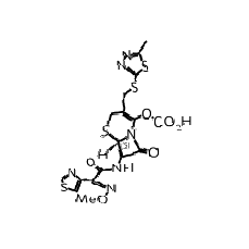 CON=C(C(=O)NC1C(=O)N2C(OC(=O)O)=C(CSc3nnc(C)s3)CS[C@@H]12)c1cscn1